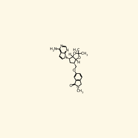 CN1Cc2ccc(OC[C@H]3C[C@@H](n4ccc5c(N)ncnc54)[C@@H]4OC(C)(C)O[C@H]34)cc2C1=O